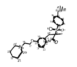 COc1ccc(S(=O)(=O)C(C)(Cc2cccc(OCCN3CCCCC3)c2)C(N)=O)cc1